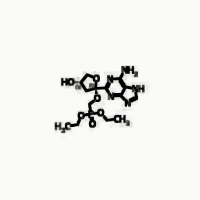 CCOP(=O)(CO[C@]1(c2nc(N)c3[nH]cnc3n2)C[C@H](O)CO1)OCC